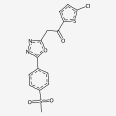 CS(=O)(=O)c1ccc(-c2nnc(CC(=O)c3ccc(Cl)s3)o2)cc1